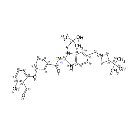 CC(C)(O)Cn1/c(=N/C(=O)c2ccnc(Oc3cccc(O)c3C=O)c2)[nH]c2ccc(CN3CC(C(C)(C)O)C3)cc21